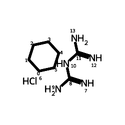 C1CCCCC1.Cl.N=C(N)NC(=N)N